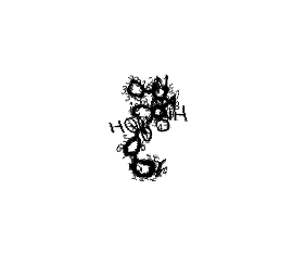 O=C([C@H](O)c1cccc(-c2cccc(F)c2)c1)N1CCCc2nc(C3(c4cncc(C5CCCCC5)c4)CC3)[nH]c(=O)c2C1